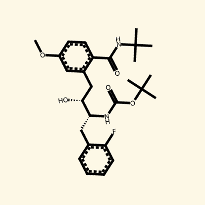 COc1ccc(C(=O)NC(C)(C)C)c(C[C@@H](O)[C@@H](Cc2ccccc2F)NC(=O)OC(C)(C)C)c1